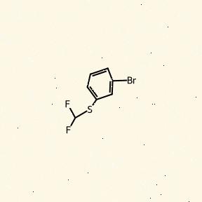 FC(F)Sc1cccc(Br)c1